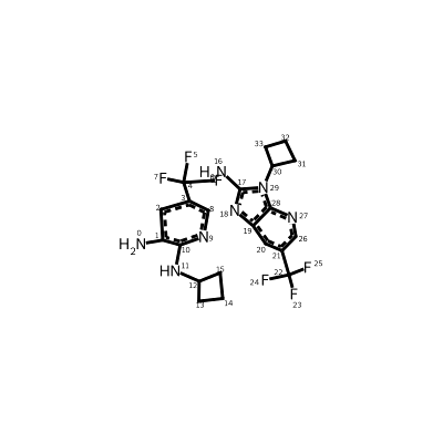 Nc1cc(C(F)(F)F)cnc1NC1CCC1.Nc1nc2cc(C(F)(F)F)cnc2n1C1CCC1